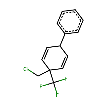 FC(F)(F)C1(CCl)C=CC(c2ccccc2)C=C1